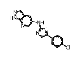 Clc1ccc(-c2cnc(Nc3cnc4[nH]ncc4c3)o2)cc1